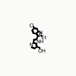 CCn1nc2cc(Cl)ccc2c1-c1cc2nccc(CO)c2[nH]1